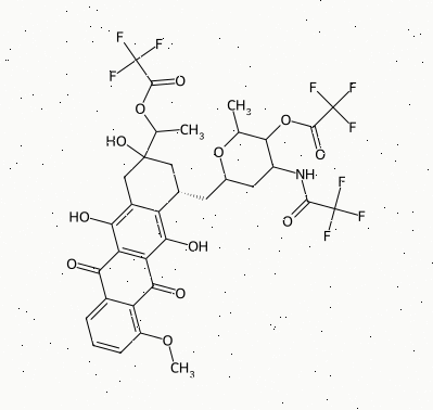 COc1cccc2c1C(=O)c1c(O)c3c(c(O)c1C2=O)CC(O)(C(C)OC(=O)C(F)(F)F)C[C@@H]3CC1CC(NC(=O)C(F)(F)F)C(OC(=O)C(F)(F)F)C(C)O1